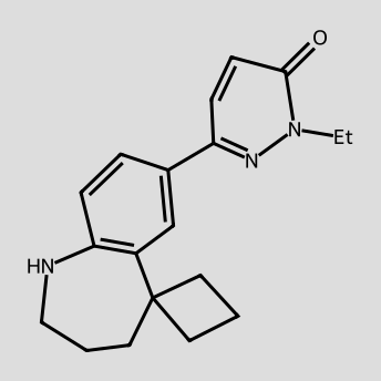 CCn1nc(-c2ccc3c(c2)C2(CCCN3)CCC2)ccc1=O